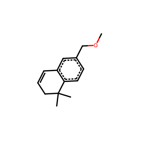 COCc1ccc2c(c1)C=CCC2(C)C